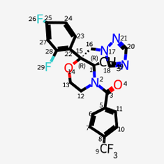 C[C@H]1N(C(=O)c2ccc(C(F)(F)F)cc2)CCO[C@@]1(Cn1cncn1)c1ccc(F)cc1F